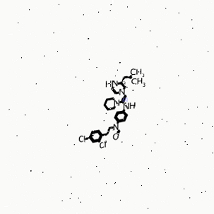 CC(C)C[C@H]1CN(/C=C(/Nc2ccc(N(C=O)CCc3ccc(Cl)cc3Cl)cc2)N2CCCCC2)CCN1